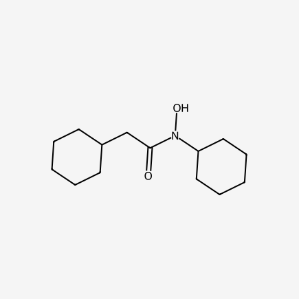 O=C(CC1CCCCC1)N(O)C1CCCCC1